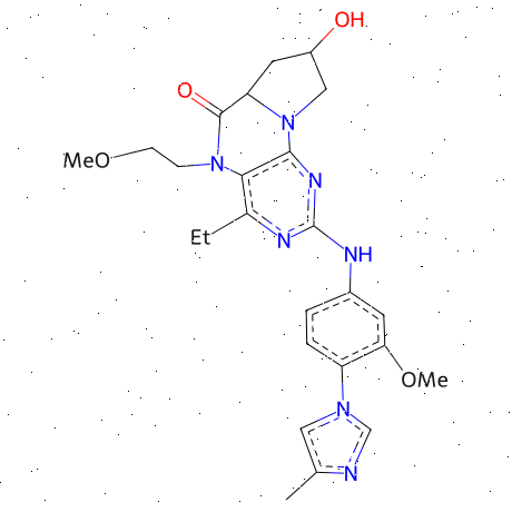 CCc1nc(Nc2ccc(-n3cnc(C)c3)c(OC)c2)nc2c1N(CCOC)C(=O)C1CC(O)CN21